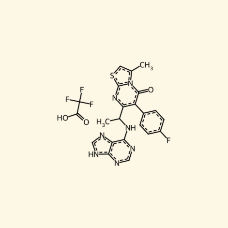 Cc1csc2nc(C(C)Nc3ncnc4[nH]cnc34)c(-c3ccc(F)cc3)c(=O)n12.O=C(O)C(F)(F)F